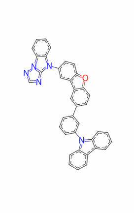 c1cc(-c2ccc3oc4ccc(-n5c6ccccc6n6ncnc56)cc4c3c2)cc(-n2c3ccccc3c3ccccc32)c1